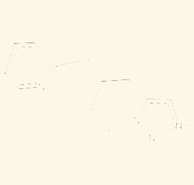 OCC(Cc1c[nH]nn1)Oc1ccccn1